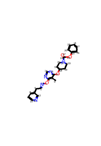 Cc1c(ON=CCc2cccnc2)ncnc1OC1CCN(C(=O)Oc2ccccc2)CC1